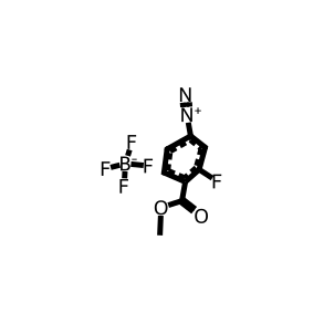 COC(=O)c1ccc([N+]#N)cc1F.F[B-](F)(F)F